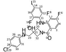 O=C(c1ccc(F)c(F)c1Nc1ccc(I)cc1F)N1CC(O)(CNc2ccc(Cl)cc2)C1